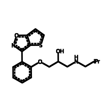 CC(C)CNCC(O)COc1ccccc1-c1noc2ccsc12